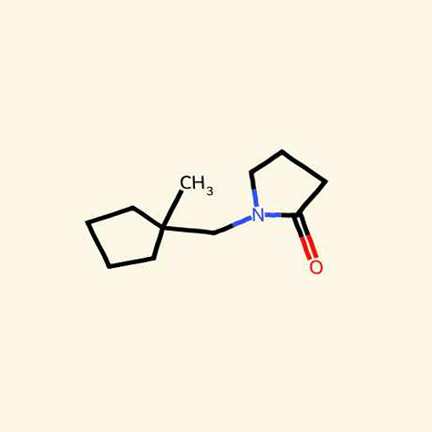 CC1(CN2CCCC2=O)CCCC1